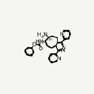 N[C@H]1CCC2C(c3ccccn3)=NN=C(c3ccccn3)C2CC[C@H]1NC(=O)Oc1ccccc1